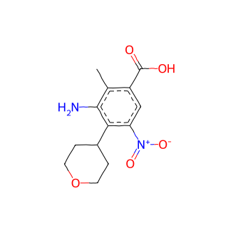 Cc1c(C(=O)O)cc([N+](=O)[O-])c(C2CCOCC2)c1N